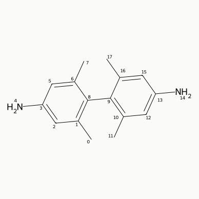 Cc1cc(N)cc(C)c1-c1c(C)cc(N)cc1C